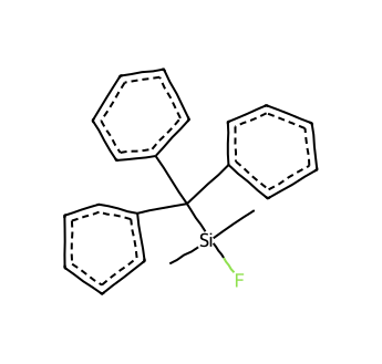 C[Si](C)(F)C(c1ccccc1)(c1ccccc1)c1ccccc1